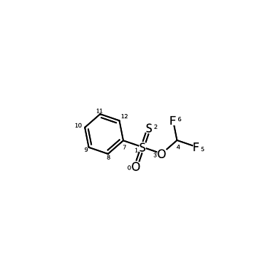 O=S(=S)(OC(F)F)c1ccccc1